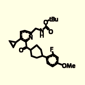 COc1ccc(C2CCC(C(=O)c3nc(CNC(=O)OC(C)(C)C)ccc3C3CC3)CC2)c(F)c1